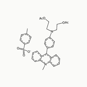 CC(=O)OCCN(CCOC(C)=O)c1ccc(-c2c3ccccc3[n+](C)c3ccccc23)cc1.Cc1ccc(S(=O)(=O)[O-])cc1